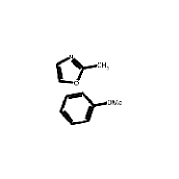 COc1ccccc1.Cc1ncco1